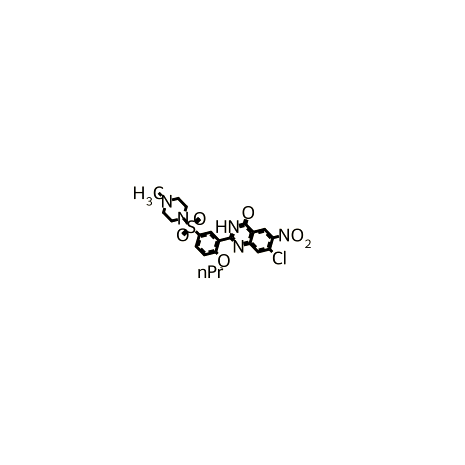 CCCOc1ccc(S(=O)(=O)N2CCN(C)CC2)cc1-c1nc2cc(Cl)c([N+](=O)[O-])cc2c(=O)[nH]1